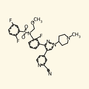 COCN(c1cccc(-c2nn(C3CCN(C)CC3)cc2-c2ccnc(C#N)c2)c1F)S(=O)(=O)c1cc(F)ccc1F